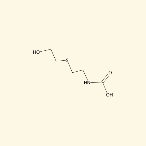 O=C(O)NCCSCCO